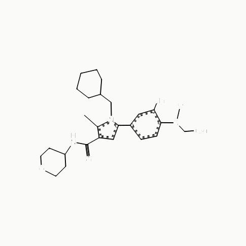 Cc1c(C(=O)NC2CCOCC2)cc(-c2ccc([S+]([O-])CC(C)(C)C)c(C(C)C)c2)n1CC1CCCCC1